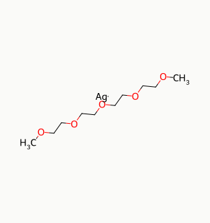 COCCOCCOCCOCCOC.[Ag]